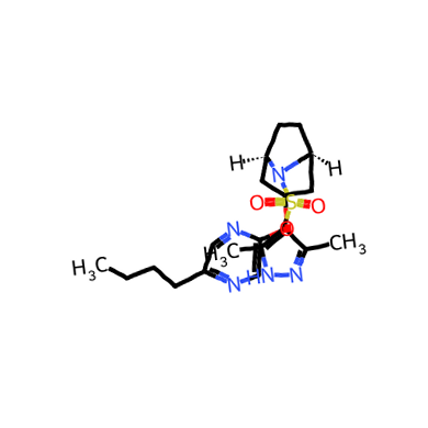 CCCCc1cnc(OC2C[C@H]3CC[C@@H](C2)N3S(=O)(=O)c2c(C)n[nH]c2C)cn1